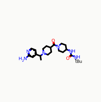 CC(c1ccnc(N)c1)N1CCC(C(=O)N2CCC(NC(=O)NC(C)(C)C)CC2)CC1